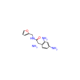 N.Nc1ccc(CC(=O)NCc2ccco2)c(N)c1